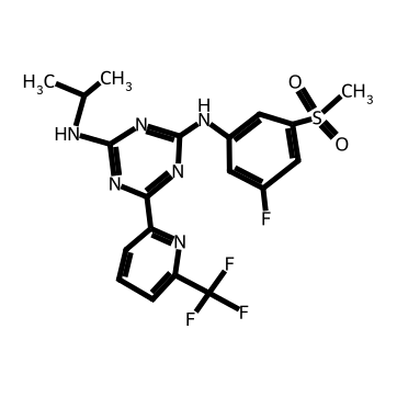 CC(C)Nc1nc(Nc2cc(F)cc(S(C)(=O)=O)c2)nc(-c2cccc(C(F)(F)F)n2)n1